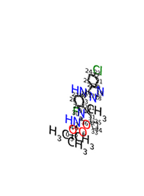 CC(C)(C)OC(=O)NC1=NC(C)(c2cc(Nc3ncnc4cc(Cl)ccc34)ccc2F)CC2(CCC2)O1